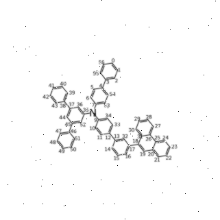 c1ccc(-c2ccc(N(c3ccc(-c4cccc(-c5cc6ccccc6c6ccccc56)c4)cc3)c3cc(-c4ccccc4)cc(-c4ccccc4)c3)cc2)cc1